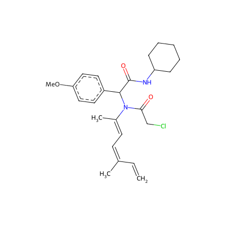 C=C/C(C)=C\C=C(/C)N(C(=O)CCl)C(C(=O)NC1CCCCC1)c1ccc(OC)cc1